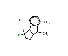 Cc1ccc(C)c2c1C(C)C1CCC(F)(F)C21